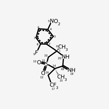 C[C@@]1(c2cc([N+](=O)[O-])ccc2F)CS(=O)(=O)[C@](C)(CC(F)(F)F)C(=N)N1